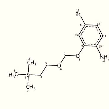 C[Si](C)(C)CCOCOc1cc(Br)ccc1N